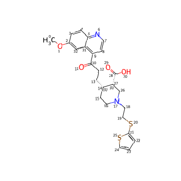 COc1ccc2nccc(C(=O)CC[C@H]3CCN(CCSc4cccs4)C[C@H]3C(=O)O)c2c1